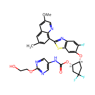 COc1cnc2c(-c3nc4cc(F)c(O[C@@H]5CC(F)(F)C[C@@H]5OC(=O)Nc5cnc(OCCO)nc5)cc4s3)cc(C)cc2c1